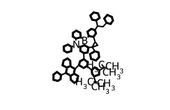 CC(C)(C)c1cc(-c2cc(-c3cc4c5c(c3)C3(c6ccccc6)CC3c3cc(C(Cc6ccccc6)c6ccccc6)ccc3B5c3ccccc3N4c3ccccc3)cc(-c3c4ccccc4c(-c4ccccc4)c4ccccc34)c2)cc(C(C)(C)C)c1